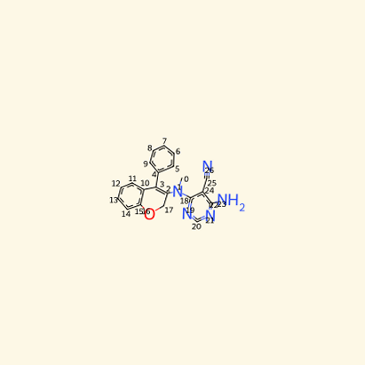 CN(C1=C(c2ccccc2)c2ccccc2OC1)c1ncnc(N)c1C#N